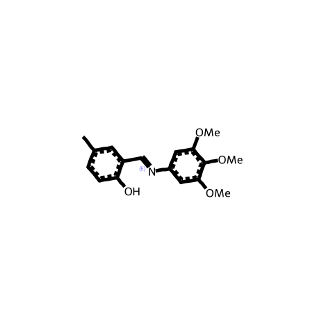 COc1cc(/N=C/c2cc(C)ccc2O)cc(OC)c1OC